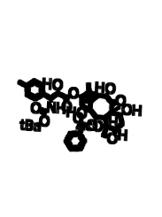 CC(=O)OC12CO[C@@H]1C[C@H](O)[C@@]1(C)C(=O)[C@H](O)C3=C(C)[C@@H](OC(=O)[C@H](O)[C@@H](NC(=O)OC(C)(C)C)c4ccc(C)cc4)C[C@@](O)([C@@H](OC(=O)c4ccccc4)[C@H]21)C3(C)C